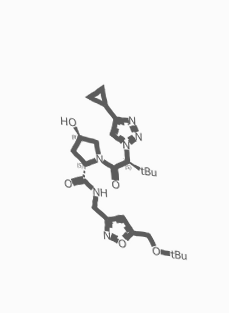 CC(C)(C)OCc1cc(CNC(=O)[C@@H]2C[C@@H](O)CN2C(=O)[C@@H](n2cc(C3CC3)nn2)C(C)(C)C)no1